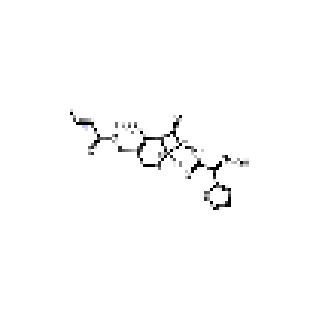 C/C=C/C(=O)OCC1=C(C(=O)O)N2C(=O)[C@@H](NC(=O)C(=NO)c3cccs3)[C@@H]2SC1